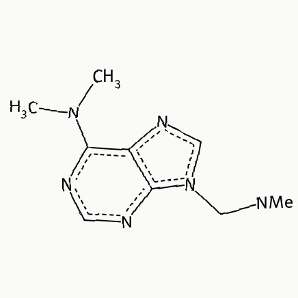 CNCn1cnc2c(N(C)C)ncnc21